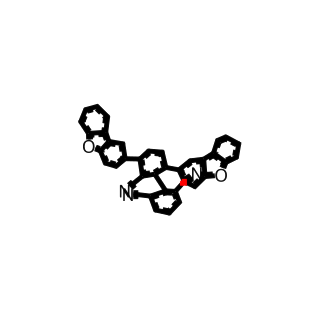 N#Cc1cccc(C#N)c1-c1c(-c2ccc3oc4ccccc4c3c2)ccc(-c2ccc3oc4ccccc4c3c2)c1C#N